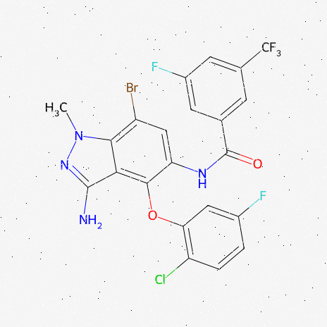 Cn1nc(N)c2c(Oc3cc(F)ccc3Cl)c(NC(=O)c3cc(F)cc(C(F)(F)F)c3)cc(Br)c21